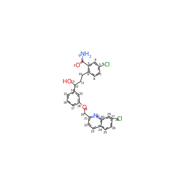 NC(=O)c1cc(Cl)ccc1CCC(O)c1cccc(OCc2ccc3ccc(Cl)cc3n2)c1